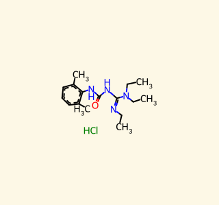 CCN=C(NC(=O)Nc1c(C)cccc1C)N(CC)CC.Cl